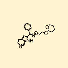 c1ccc(/C(=N\OCCOC2CCCCO2)c2cc3ccncc3[nH]2)cc1